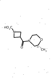 C[C@@H]1CN(C(=O)C2CN(C(=O)O)C2)CCO1